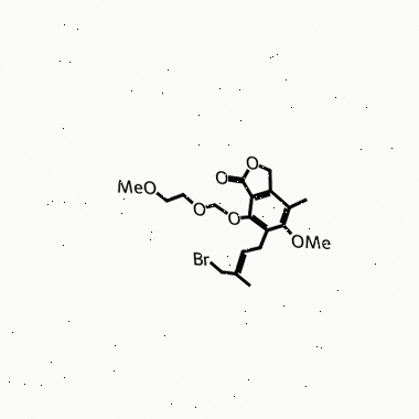 COCCOCOc1c(C/C=C(\C)CBr)c(OC)c(C)c2c1C(=O)OC2